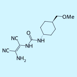 COC[C@H]1CC[C@H](NC(=O)N/C(C#N)=C(\N)C#N)CC1